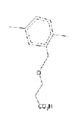 Cc1ccc(C)c(COCCC(=O)O)c1